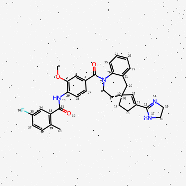 COc1cc(C(=O)N2CC[C@]3(C=C(C4=NCCN4)CC3)Cc3ccccc32)ccc1NC(=O)c1cc(F)ccc1C